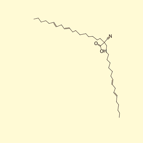 CCCCCC=CCC=CCCCCCCCCC(C#N)(CCCCCCCCC=CCC=CCCCCC)C(=O)O